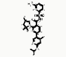 Cc1cc(OC(C)C)ncc1-c1ccc(C(=O)NS(=O)(=O)c2cccc(N)n2)c(N2CC(C)CC2(C)C)n1